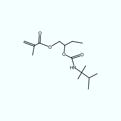 C=C(C)C(=O)OCC(CC)OC(=O)NC(C)(C)C(C)C